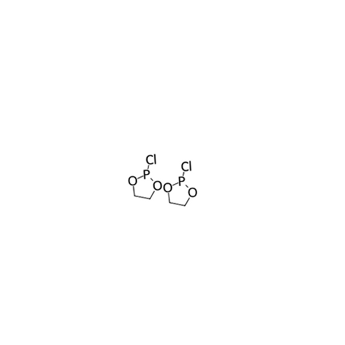 ClP1OCCO1.ClP1OCCO1